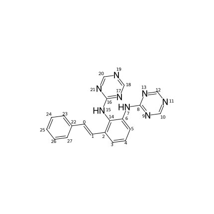 C(=Cc1cccc(Nc2ncncn2)c1Nc1ncncn1)c1ccccc1